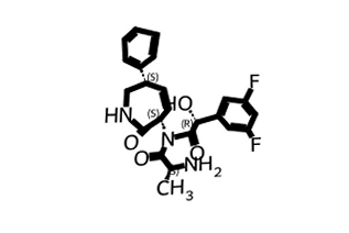 C[C@H](N)C(=O)N(C(=O)[C@H](O)c1cc(F)cc(F)c1)[C@H]1C=C[C@@H](c2ccccc2)CNC1=O